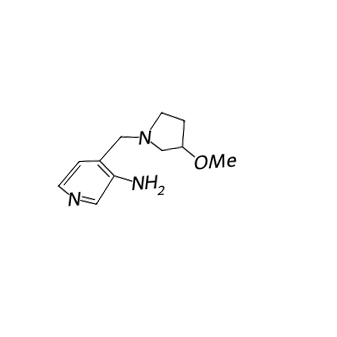 COC1CCN(Cc2ccncc2N)C1